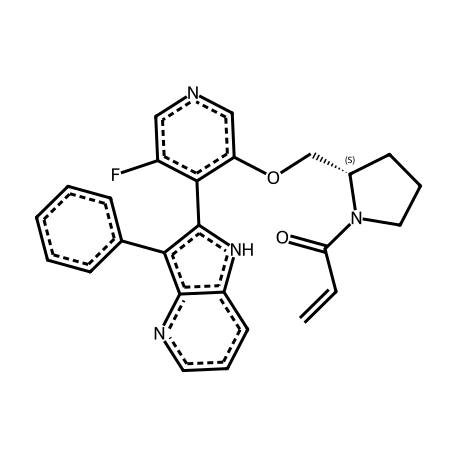 C=CC(=O)N1CCC[C@H]1COc1cncc(F)c1-c1[nH]c2cccnc2c1-c1ccccc1